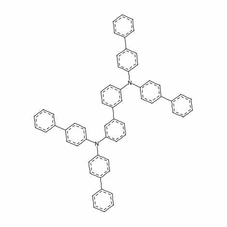 c1ccc(-c2ccc(N(c3ccc(-c4ccccc4)cc3)c3cccc(-c4cccc(N(c5ccc(-c6ccccc6)cc5)c5ccc(-c6ccccc6)cc5)c4)c3)cc2)cc1